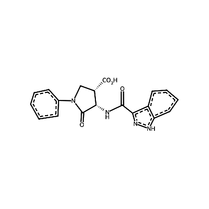 O=C(N[C@@H]1C(=O)N(c2ccccc2)C[C@@H]1C(=O)O)c1n[nH]c2ccccc12